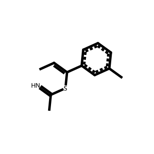 C/C=C(\SC(C)=N)c1cccc(C)c1